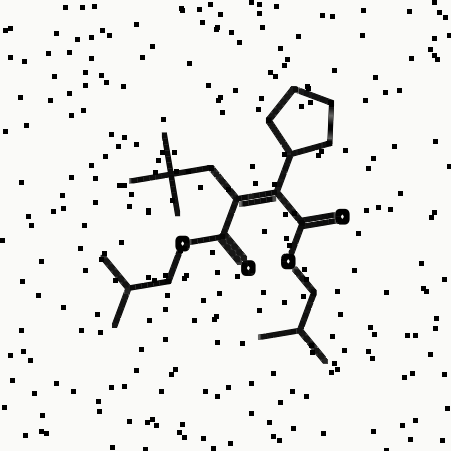 CC(C)COC(=O)/C(CC(C)(C)C)=C(\C(=O)OCC(C)C)C1CCCC1